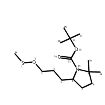 CSOCCCC1CCC(C)(C)N1C(=O)OC(C)(C)C